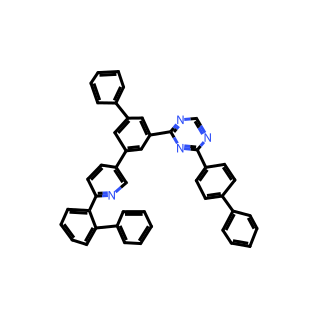 c1ccc(-c2ccc(-c3ncnc(-c4cc(-c5ccccc5)cc(-c5ccc(-c6ccccc6-c6ccccc6)nc5)c4)n3)cc2)cc1